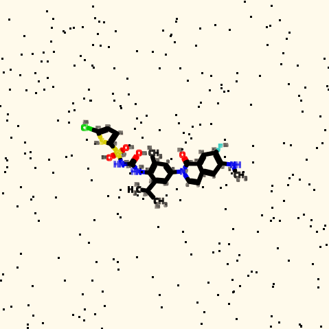 CNc1cc2ccn(-c3cc(C)c(NC(=O)NS(=O)(=O)c4ccc(Cl)s4)c(C(C)C)c3)c(=O)c2cc1F